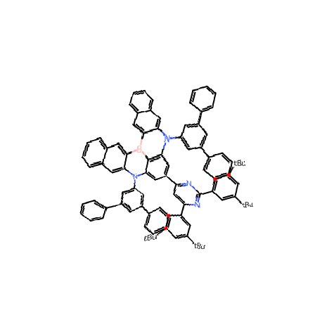 CC(C)(C)c1cc(-c2cc(-c3cc4c5c(c3)N(c3cc(-c6ccccc6)cc(-c6ccccc6)c3)c3cc6ccccc6cc3B5c3cc5ccccc5cc3N4c3cc(-c4ccccc4)cc(-c4ccccc4)c3)nc(-c3cc(C(C)(C)C)cc(C(C)(C)C)c3)n2)cc(C(C)(C)C)c1